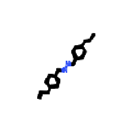 C=CCc1ccc(C=NN=Cc2ccc(CCC)cc2)cc1